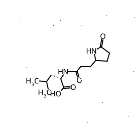 CC(C)C[C@H](NC(=O)CCC1CCC(=O)N1)C(=O)O